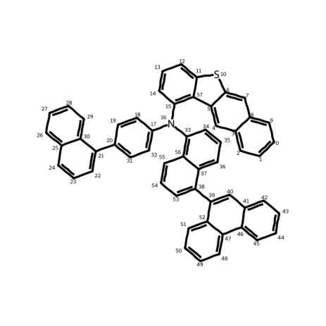 c1ccc2cc3c(cc2c1)sc1cccc(N(c2ccc(-c4cccc5ccccc45)cc2)c2cccc4c(-c5cc6ccccc6c6ccccc56)cccc24)c13